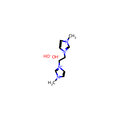 Cn1cc[n+](CC[n+]2ccn(C)c2)c1.[OH-].[OH-]